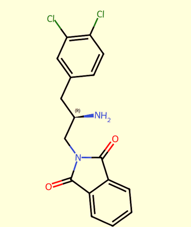 N[C@H](Cc1ccc(Cl)c(Cl)c1)CN1C(=O)c2ccccc2C1=O